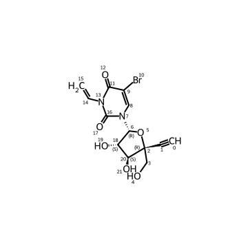 C#C[C@]1(CO)O[C@@H](n2cc(Br)c(=O)n(C=C)c2=O)[C@@H](O)[C@@H]1O